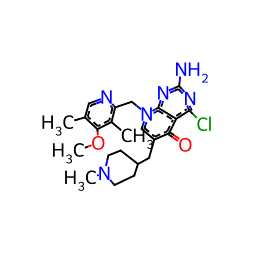 COc1c(C)cnc(Cn2cc(CC3CCN(C)CC3)c(=O)c3c(Cl)nc(N)nc32)c1C